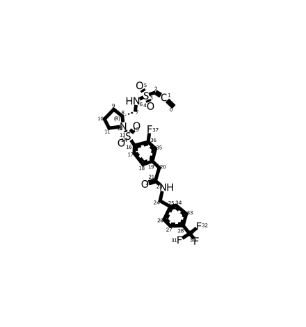 C=C=CS(=O)(=O)NC[C@H]1CCCN1S(=O)(=O)c1ccc(CC(=O)NCc2ccc(C(F)(F)F)cc2)cc1F